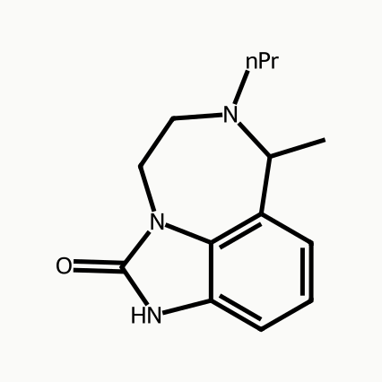 CCCN1CCn2c(=O)[nH]c3cccc(c32)C1C